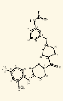 CB(O)Nc1cc(CN2CCC(C(=O)N3CCC(Nc4ccc(C(F)(F)F)cc4[N+](=O)[O-])CC3)CC2)ccn1